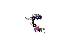 COc1cc(OC)c(-c2cc3ccccc3n2C)cc1C=CC(=O)c1ccc(S(=O)(=O)NO[Si](C)(C)C(C)(C)C)cc1